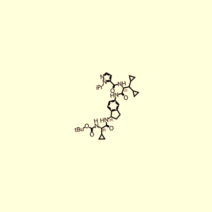 CC(C)n1nccc1C(=O)N[C@H](C(=O)Nc1ccc2c(c1)CC[C@H]2NC(=O)[C@H](NC(=O)OC(C)(C)C)C1CC1)C(C1CC1)C1CC1